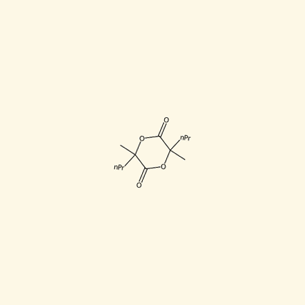 CCCC1(C)OC(=O)C(C)(CCC)OC1=O